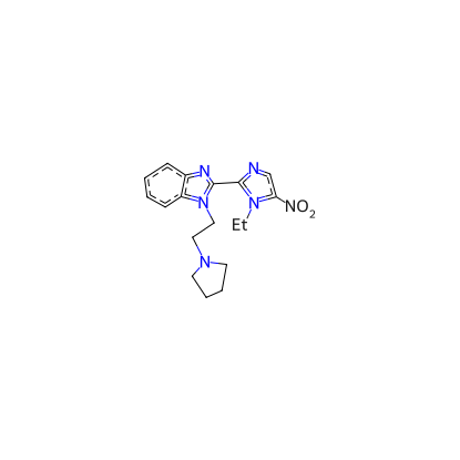 CCn1c([N+](=O)[O-])cnc1-c1nc2ccccc2n1CCN1CCCC1